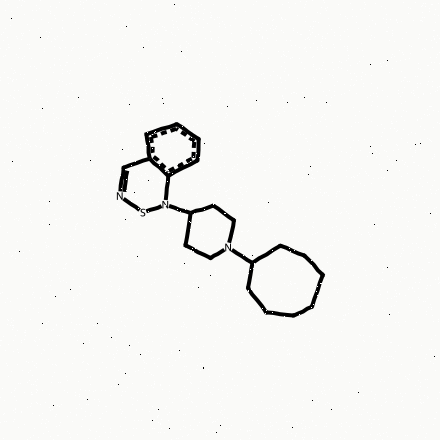 C1=NSN(C2CCN(C3CCCCCCC3)CC2)c2ccccc21